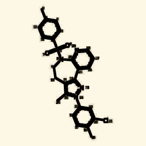 Cc1ccc(S(=O)(=O)N2CCc3c(nn(-c4ccc(C)c(Cl)c4)c3C)-c3cccnc32)cc1